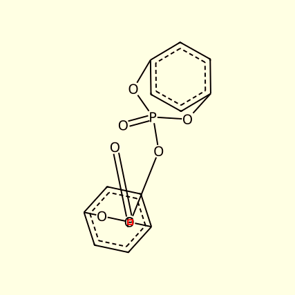 O=P1(OP2(=O)Oc3ccc(cc3)O2)Oc2ccc(cc2)O1